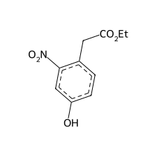 CCOC(=O)Cc1ccc(O)cc1[N+](=O)[O-]